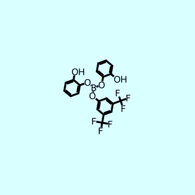 Oc1ccccc1OB(Oc1cc(C(F)(F)F)cc(C(F)(F)F)c1)Oc1ccccc1O